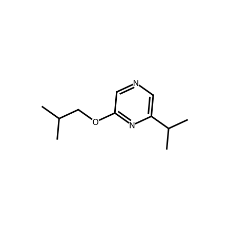 CC(C)COc1cncc(C(C)C)n1